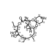 CC[C@H]1OC(=O)[C@H](C)[C@H]2OC3(CCNCC3)O[C@@](C)(C[C@@H](C)CN(C)[C@H](C)[C@@H](O)[C@]1(C)O)[C@H](C)[C@H]2C